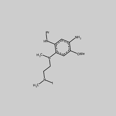 COc1cc(N(C)CCN(C)I)c(NC(C)C)cc1N